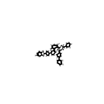 c1ccc(-c2ccc(-c3nc(-c4ccccc4)nc(-c4cccc5sc6c(-c7ccc(-c8nc9ccccc9s8)cc7)cccc6c45)n3)cc2)cc1